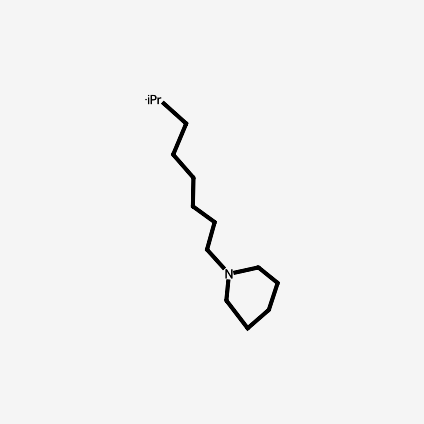 C[C](C)CCCCCCN1CCCCC1